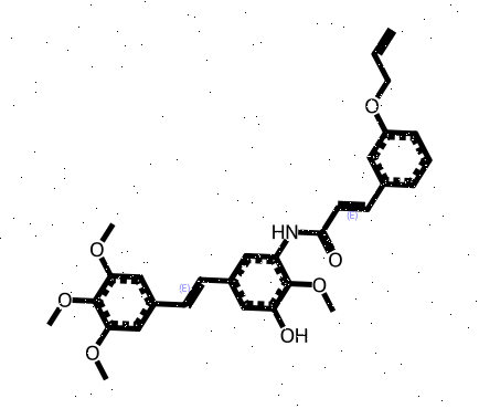 C=CCOc1cccc(/C=C/C(=O)Nc2cc(/C=C/c3cc(OC)c(OC)c(OC)c3)cc(O)c2OC)c1